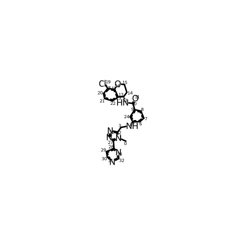 Cn1c(CNc2cccc(C(=O)N[C@@H]3CCOc4c(Cl)cccc43)c2)nnc1-c1ccncn1